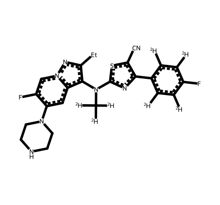 [2H]c1c([2H])c(-c2nc(N(c3c(CC)nn4cc(F)c(N5CCNCC5)cc34)C([2H])([2H])[2H])sc2C#N)c([2H])c([2H])c1F